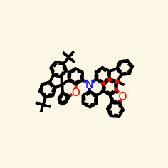 CC(C)(C)c1ccc2c(c1)C1(c3ccccc3Oc3c(N(c4ccc5c(c4)C(C)(C)c4ccccc4-5)c4ccccc4-c4cccc5oc6ccccc6c45)cccc31)c1cc(C(C)(C)C)ccc1-2